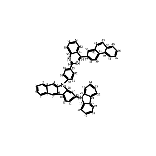 c1ccc2cc3c(cc2c1)c1ccc(-n2c4ccccc4c4ccccc42)cc1n3-c1ccc(-c2nc(-c3ccc4c(ccc5ccccc54)c3)c3ccccc3n2)cc1